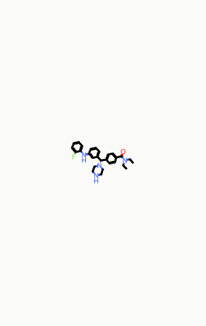 CCN(CC)C(=O)c1ccc([C@@H](c2cccc(Nc3ccccc3F)c2)N2CCNCC2)cc1